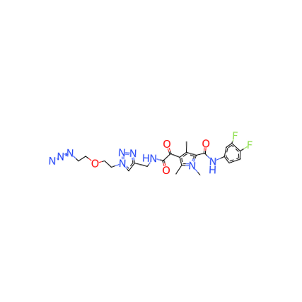 Cc1c(C(=O)C(=O)NCc2cn(CCOCCN=[N+]=[N-])nn2)c(C)n(C)c1C(=O)Nc1ccc(F)c(F)c1